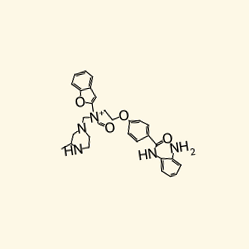 CC1CN(C[N+](C=O)(CCOc2ccc(C(=O)Nc3ccccc3N)cc2)c2cc3ccccc3o2)CCN1